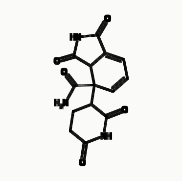 NC(=O)C1(C2CCC(=O)NC2=O)C=CC=C2C(=O)NC(=O)C21